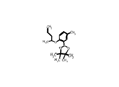 C=CCC(C)Oc1ccc(C)cc1B1OC(C)(C)C(C)(C)O1